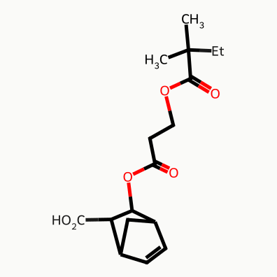 CCC(C)(C)C(=O)OCCC(=O)OC1C2C=CC(C2)C1C(=O)O